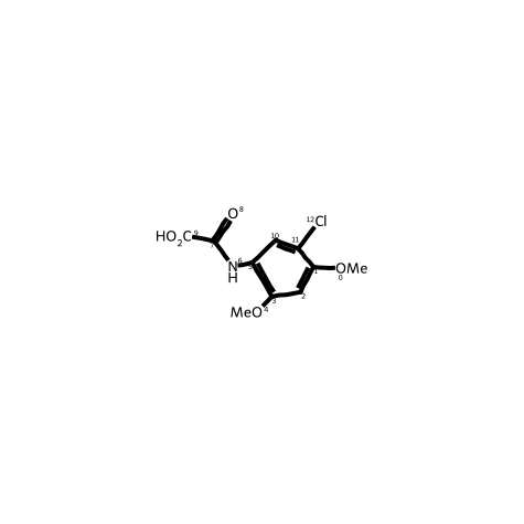 COc1cc(OC)c(NC(=O)C(=O)O)cc1Cl